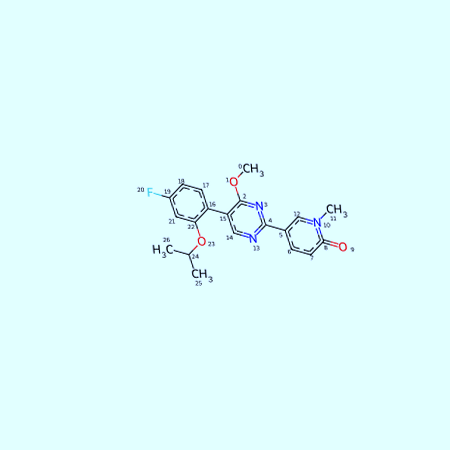 COc1nc(-c2ccc(=O)n(C)c2)ncc1-c1ccc(F)cc1OC(C)C